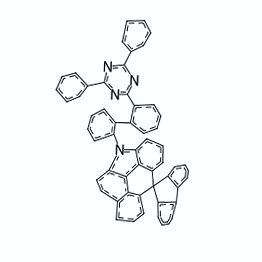 c1ccc(-c2nc(-c3ccccc3)nc(-c3ccccc3-c3ccccc3-n3c4cccc5c4c4c6c(cccc6ccc43)C53c4ccccc4-c4ccccc43)n2)cc1